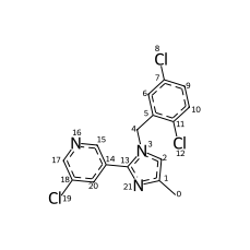 Cc1cn(Cc2cc(Cl)ccc2Cl)c(-c2cncc(Cl)c2)n1